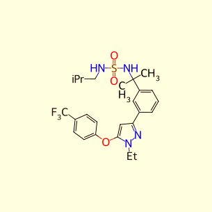 CCn1nc(-c2cccc(C(C)(C)NS(=O)(=O)NCC(C)C)c2)cc1Oc1ccc(C(F)(F)F)cc1